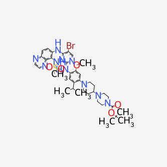 COc1cc(N2CCC(N3CCN(C(=O)OC(C)(C)C)CC3)CC2)c(C(C)C)cc1Nc1ncc(Br)c(Nc2ccc3nccnc3c2NS(C)(=O)=O)n1